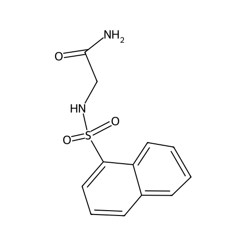 NC(=O)CNS(=O)(=O)c1cccc2ccccc12